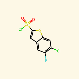 O=S(=O)(Cl)c1cc2cc(F)c(Cl)cc2s1